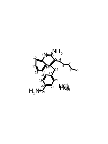 CCCCCc1c(N)nc2ccccc2c1Cc1ccc(CN)cc1.Cl.Cl